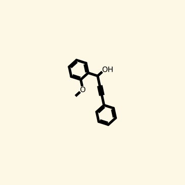 COc1ccccc1C(O)C#Cc1ccccc1